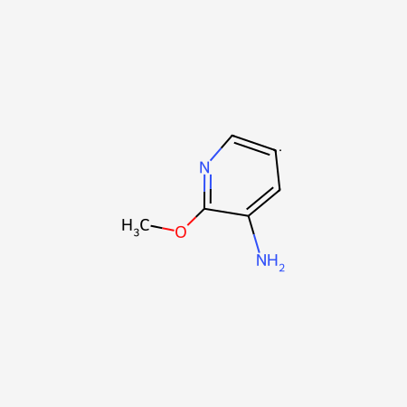 COc1nc[c]cc1N